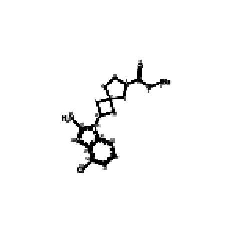 CC(C)(C)OC(=O)N1CC[C@]2(C1)C[C@H](n1c(N)nc3c(Cl)cccc31)C2